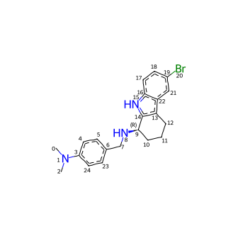 CN(C)c1ccc(CN[C@@H]2CCCc3c2[nH]c2ccc(Br)cc32)cc1